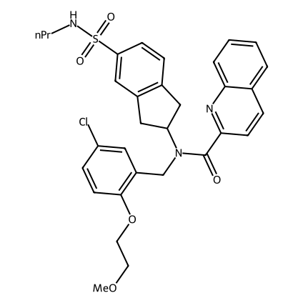 CCCNS(=O)(=O)c1ccc2c(c1)CC(N(Cc1cc(Cl)ccc1OCCOC)C(=O)c1ccc3ccccc3n1)C2